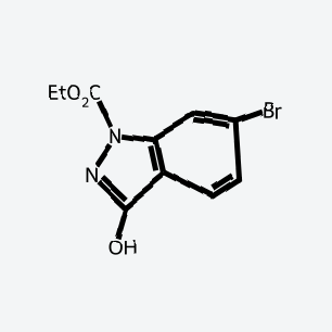 CCOC(=O)n1nc(O)c2ccc(Br)cc21